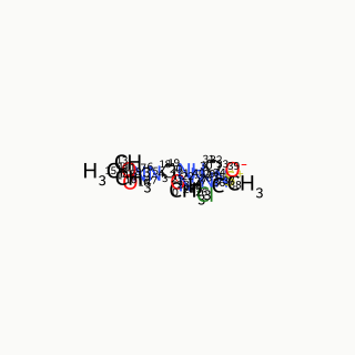 COc1cc(N2CCN(C(=O)OC(C)(C)C)CC2)ccc1Nc1ncc(Cl)c(Nc2ccccc2N(C)[S+](C)[O-])n1